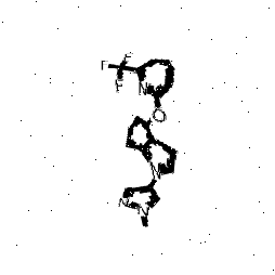 Cn1cc(-n2ccc3c(Oc4c[c]cc(C(F)(F)F)n4)cccc32)cn1